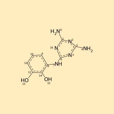 Nc1nc(N)nc(Nc2cccc(O)c2O)n1